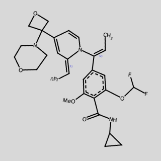 C/C=C(/c1cc(OC)c(C(=O)NC2CC2)c(OC(F)F)c1)N1C=CC(C2(N3CCOCC3)COC2)=C/C1=C\CCC